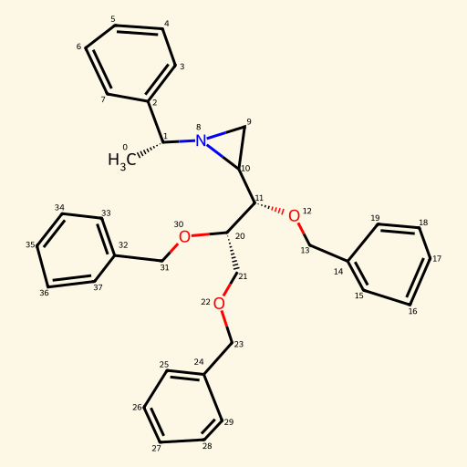 C[C@H](c1ccccc1)N1CC1[C@H](OCc1ccccc1)[C@H](COCc1ccccc1)OCc1ccccc1